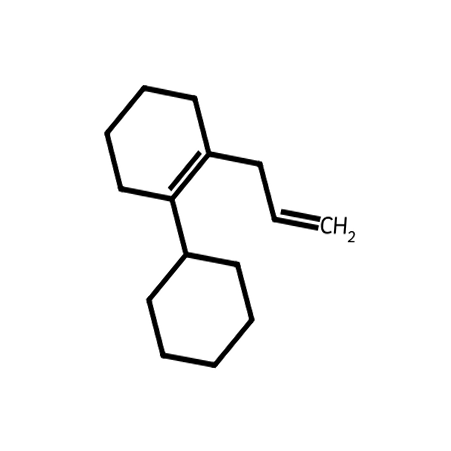 C=CCC1=C(C2CCCCC2)CCCC1